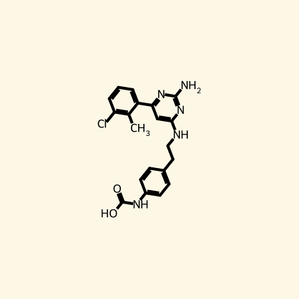 Cc1c(Cl)cccc1-c1cc(NCCc2ccc(NC(=O)O)cc2)nc(N)n1